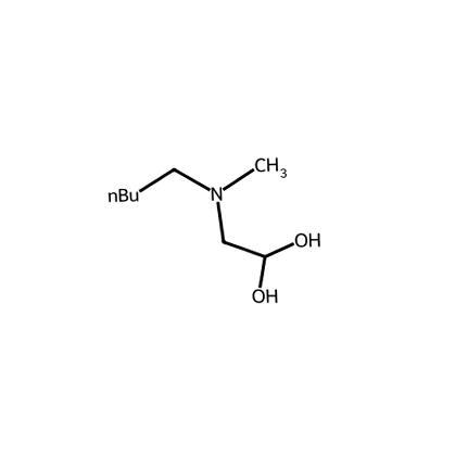 CCCCCN(C)CC(O)O